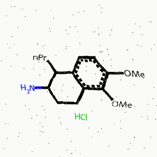 CCCC1c2ccc(OC)c(OC)c2CCC1N.Cl